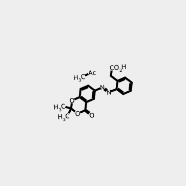 CC(C)=O.CC1(C)OC(=O)c2cc(N=Nc3ccccc3CC(=O)O)ccc2O1